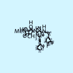 CNC(=O)C1(C)C[C@@H](n2cnc3c(NC4CC4c4ccc(F)c(F)c4)nc(C#Cc4ccccn4)nc32)[C@H](O)[C@@H]1O